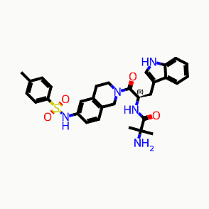 Cc1ccc(S(=O)(=O)Nc2ccc3c(c2)CCN(C(=O)[C@@H](Cc2c[nH]c4ccccc24)NC(=O)C(C)(C)N)C3)cc1